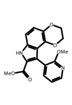 COC(=O)c1[nH]c2ccc3c(c2c1-c1cccnc1OC)OCCO3